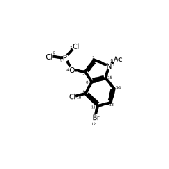 CC(=O)n1cc(OP(Cl)Cl)c2c(Cl)c(Br)ccc21